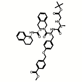 COC(=O)c1ccc(COc2ccc(C[C@H](NC(=O)[C@H](C)NCC(=O)OC(C)(C)C)C(=O)N3Cc4ccccc4C[C@H]3C(=O)N[C@@H]3CCCc4ccccc43)cc2)cc1